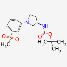 CC(C)(C)OC(=O)N[C@@H]1CCN(c2cccc(S(C)(=O)=O)c2)C1